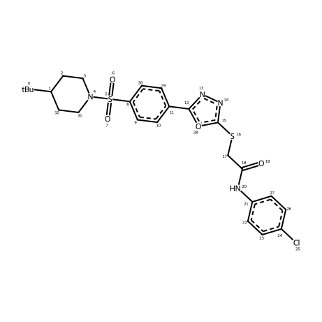 CC(C)(C)C1CCN(S(=O)(=O)c2ccc(-c3nnc(SCC(=O)Nc4ccc(Cl)cc4)o3)cc2)CC1